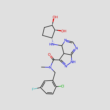 CN(Cc1cc(F)ccc1Cl)C(=O)C1=NNC2=NC=NC(N[C@@H]3CC[C@@H](O)[C@H]3O)C21